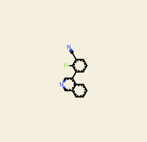 N#Cc1cccc(-c2cncc3ccccc23)c1F